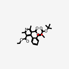 CCOC(=O)c1c(C)nc(C)c(C(=O)OCC)c1-c1ccccc1C=CC(=O)OC(C)(C)C